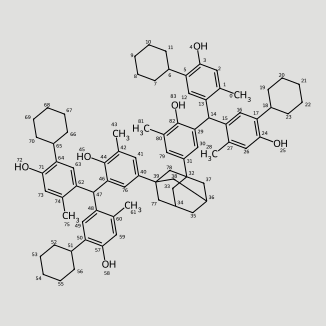 Cc1cc(O)c(C2CCCCC2)cc1C(c1cc(C2CCCCC2)c(O)cc1C)c1cc(C23CC4CC(C2)CC(c2cc(C)c(O)c(C(c5cc(C6CCCCC6)c(O)cc5C)c5cc(C6CCCCC6)c(O)cc5C)c2)(C4)C3)cc(C)c1O